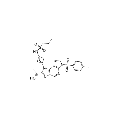 CCCS(=O)(=O)NC12CC(n3c([C@@H](C)O)nc4cnc5c(ccn5S(=O)(=O)c5ccc(C)cc5)c43)(C1)C2